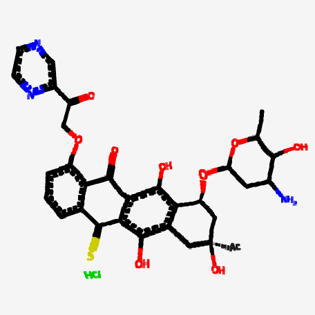 CC(=O)[C@]1(O)Cc2c(O)c3c(c(O)c2[C@@H](OC2CC(N)C(O)C(C)O2)C1)C(=O)c1c(OCC(=O)c2cnccn2)cccc1C3=S.Cl